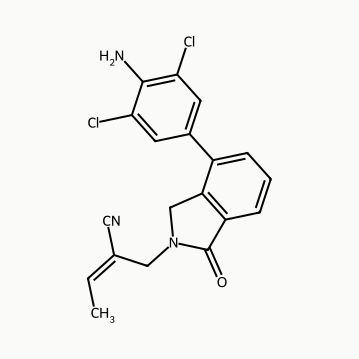 C/C=C(/C#N)CN1Cc2c(cccc2-c2cc(Cl)c(N)c(Cl)c2)C1=O